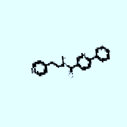 O=C(NCCc1ccncc1)c1ccc(-c2ccccc2)nc1